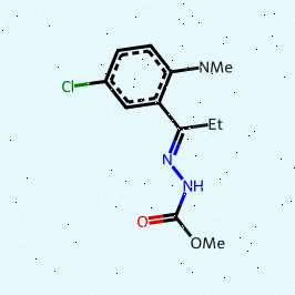 CC/C(=N\NC(=O)OC)c1cc(Cl)ccc1NC